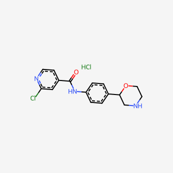 Cl.O=C(Nc1ccc(C2CNCCO2)cc1)c1ccnc(Cl)c1